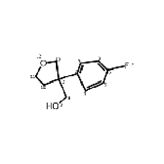 OCC1(c2ccc(F)cc2)CCOC1